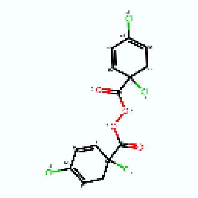 O=C(OOC(=O)C1(Cl)C=CC(Cl)=CC1)C1(Cl)C=CC(Cl)=CC1